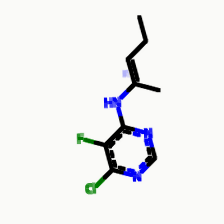 CC/C=C(\C)Nc1ncnc(Cl)c1F